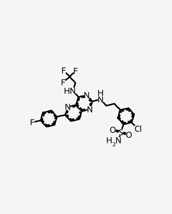 NS(=O)(=O)c1cc(CCNc2nc(NCC(F)(F)F)c3nc(-c4ccc(F)cc4)ccc3n2)ccc1Cl